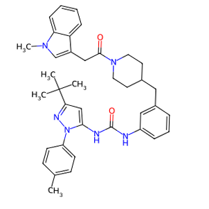 Cc1ccc(-n2nc(C(C)(C)C)cc2NC(=O)Nc2cccc(CC3CCN(C(=O)Cc4cn(C)c5ccccc45)CC3)c2)cc1